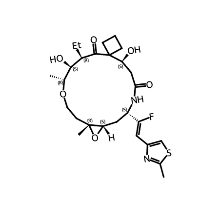 CC[C@H]1C(=O)C2(CCC2)[C@@H](O)CC(=O)N[C@H](C(F)=Cc2csc(C)n2)C[C@@H]2O[C@]2(C)CCO[C@H](C)[C@H]1O